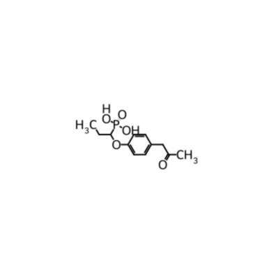 CCC(Oc1ccc(CC(C)=O)cc1)P(=O)(O)O